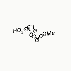 COc1ccc(C(=O)c2ccc(OC(CCN(C)CC(=O)O)c3ccccc3)cc2)cc1